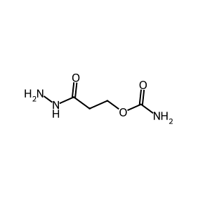 NNC(=O)CCOC(N)=O